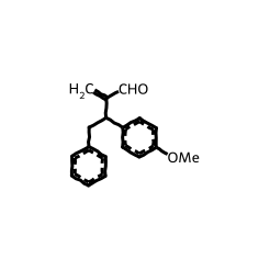 C=C(C=O)C(Cc1ccccc1)c1ccc(OC)cc1